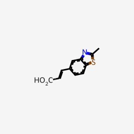 Cc1nc2cc(/C=C/C(=O)O)ccc2s1